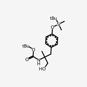 CC(CO)(Cc1ccc(O[Si](C)(C)C(C)(C)C)cc1)NC(=O)OC(C)(C)C